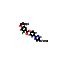 CCCCCCCOc1ccc(C(=O)Oc2ccc(-c3ncc(CCCCC)cn3)cc2)c(F)c1